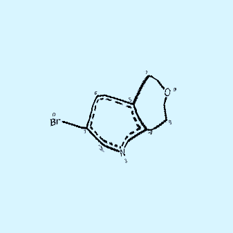 Brc1cnc2c(c1)COC2